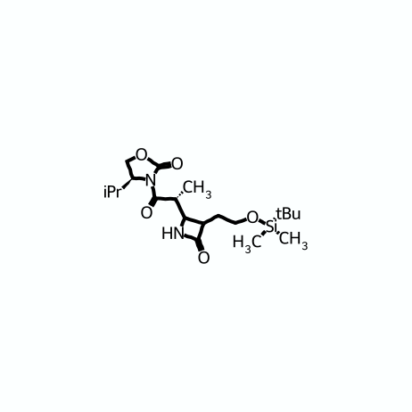 CC(C)[C@H]1COC(=O)N1C(=O)[C@H](C)C1NC(=O)C1CCO[Si](C)(C)C(C)(C)C